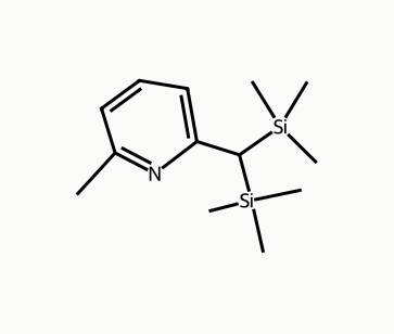 Cc1cccc(C([Si](C)(C)C)[Si](C)(C)C)n1